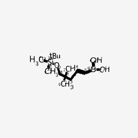 CC(C)(CC=CB(O)O)CO[Si](C)(C)C(C)(C)C